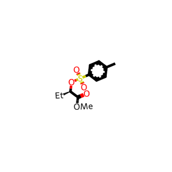 CC[C@@H](OS(=O)(=O)c1ccc(C)cc1)C(=O)OC